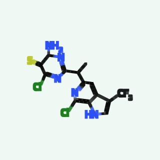 CC(C1=NC(N)C(=S)C(Cl)=N1)c1cc2c(C(F)(F)F)c[nH]c2c(Cl)n1